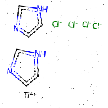 [Cl-].[Cl-].[Cl-].[Cl-].[Ti+4].c1c[nH]cn1.c1c[nH]cn1